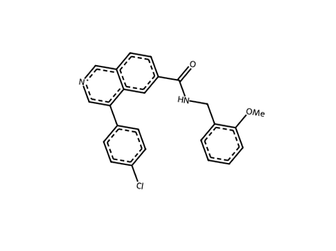 COc1ccccc1CNC(=O)c1ccc2cncc(-c3ccc(Cl)cc3)c2c1